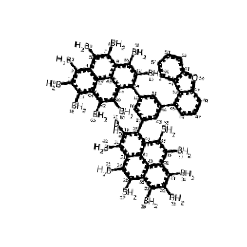 Bc1c(B)c2c(B)c(B)c3c(B)c(B)c(-c4cc(-c5c(B)c(B)c6c(B)c(B)c7c(B)c(B)c(B)c8c(B)c(B)c5c6c78)cc(-c5cccc6oc7ccccc7c56)c4)c4c(B)c(B)c(c1B)c2c34